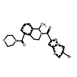 CC1c2cccc(C(=O)N3CCOCC3)c2CCN1C(=O)c1cc2ncc(Br)cn2n1